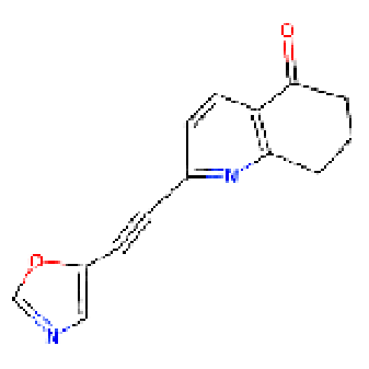 O=C1CCCc2nc(C#Cc3cnco3)ccc21